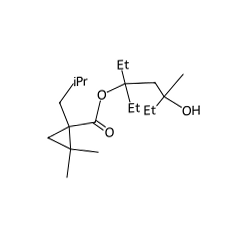 CCC(C)(O)CC(CC)(CC)OC(=O)C1(CC(C)C)CC1(C)C